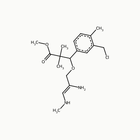 CN/C=C(\N)COC(c1ccc(C)c(CCl)c1)C(C)(C)C(=O)OC